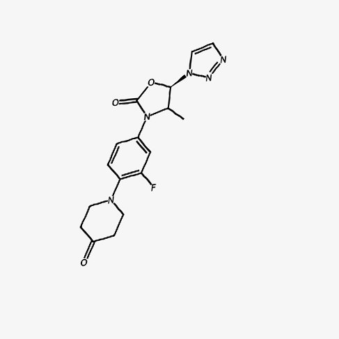 CC1[C@H](n2ccnn2)OC(=O)N1c1ccc(N2CCC(=O)CC2)c(F)c1